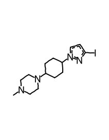 CN1CCN(C2CCC(n3ccc(I)n3)CC2)CC1